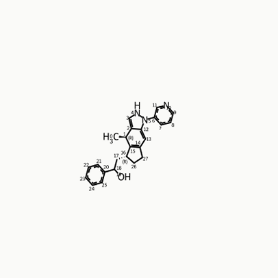 C[C@H]1C2=CNN(c3cccnc3)C2=CC2=C1[C@@H](CC(O)c1ccccc1)CC2